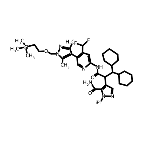 Cc1nn(COCC[Si](C)(C)C)c(C)c1-c1cnc(NC(=O)C(c2cnn(C(C)C)c2C(N)=O)C(C2CCCCC2)C2CCCCC2)cc1C(F)F